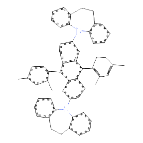 CC1=CC(C)=C(c2c3cc(N4c5ccccc5CCc5ccccc54)ccc3c(-c3ccc(C)cc3C)c3cc(N4c5ccccc5CCc5ccccc54)ccc23)CC1